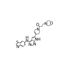 O=C(CCN1CCOCC1)N1CC=C(c2cc3c(Nc4ccc5ncsc5c4)ncnc3[nH]2)CC1